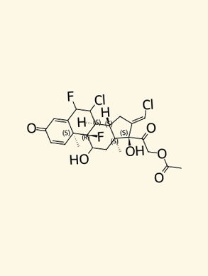 CC(=O)OCC(=O)[C@@]1(O)C(=CCl)C[C@H]2[C@@H]3C(Cl)C(F)C4=CC(=O)C=C[C@]4(C)[C@@]3(F)C(O)C[C@@]21C